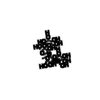 CC(C)[C@@H]1O[C@H](CO)[C@@H](O[C@@H]2O[C@H](CO)[C@@H](O)[C@H](O)[C@H]2O)[C@H](O)[C@H]1O[C@@H]1O[C@H](CO)[C@@H](O)[C@H](O)[C@H]1O[C@@H]1O[C@H](CO)[C@@H](O)[C@H](O)[C@H]1O